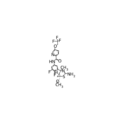 COC[C@]12C[C@H]1[C@](C)(c1cc(NC(=O)c3ccc(OCC(F)(F)F)cn3)cc(F)c1F)N=C(N)S2